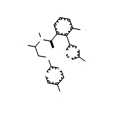 CCN(C(=O)c1cccc(C)c1-c1nnc(C)o1)C(C)COc1ncc(C(F)(F)F)cn1